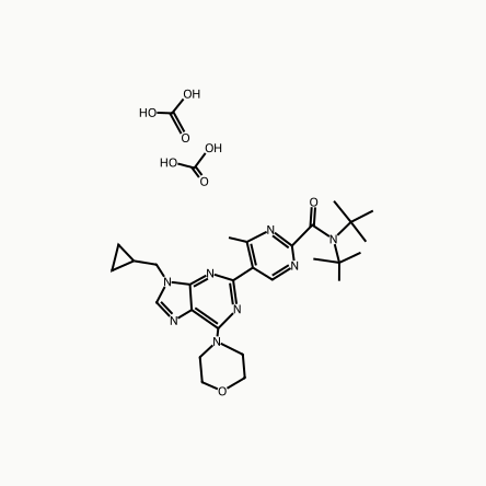 Cc1nc(C(=O)N(C(C)(C)C)C(C)(C)C)ncc1-c1nc(N2CCOCC2)c2ncn(CC3CC3)c2n1.O=C(O)O.O=C(O)O